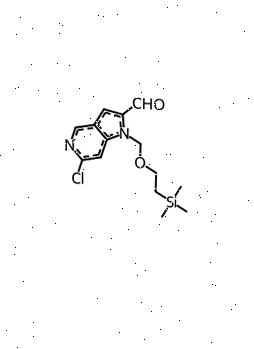 C[Si](C)(C)CCOCn1c(C=O)cc2cnc(Cl)cc21